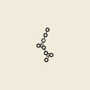 C1=CC(c2ccc(-c3ccccc3)cc2)CC=C1n1c2ccccc2c2cc(-c3ccc4c(c3)c3ccccc3n4-c3ccccc3)ccc21